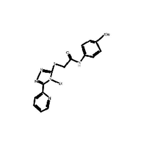 CCn1c(SCC(=O)Nc2ccc(C(C)(C)C)cc2)nnc1-c1ccccn1